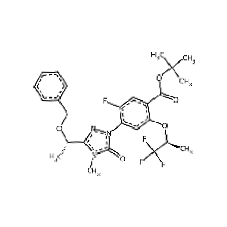 C[C@H](OCc1ccccc1)c1nn(-c2cc(O[C@@H](C)C(F)(F)F)c(C(=O)OC(C)(C)C)cc2F)c(=O)n1C